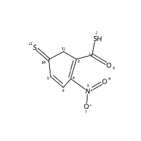 O=C(S)C1=C([N+](=O)[O-])C=CC(=S)C1